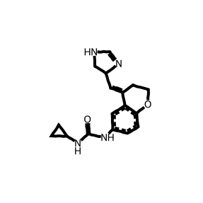 O=C(Nc1ccc2c(c1)/C(=C/C1CNC=N1)CCO2)NC1CC1